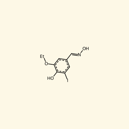 CCOc1cc(/C=N/O)cc(I)c1O